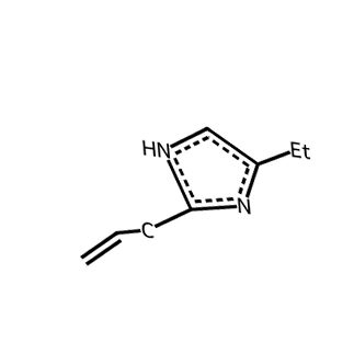 C=CCc1nc(CC)c[nH]1